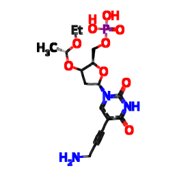 CCO[C@@H](C)OC1C[C@H](n2cc(C#CCN)c(=O)[nH]c2=O)O[C@@H]1COP(=O)(O)O